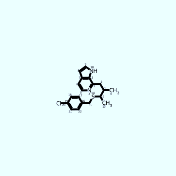 CC(Cc1nccc2cc[nH]c12)C(C)SCc1ccc(Cl)cc1